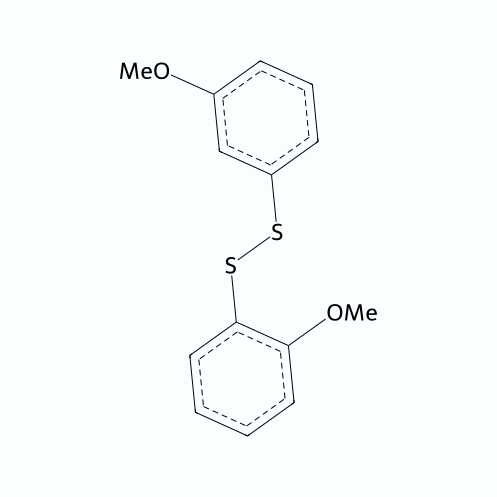 COc1cccc(SSc2ccccc2OC)c1